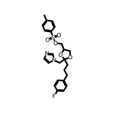 Cc1ccc(S(=O)(=O)OCC2COC(CCCc3ccc(F)cc3)(Cn3ccnc3)O2)cc1